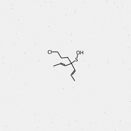 CC=CC(C=CC)(CCCCl)SO